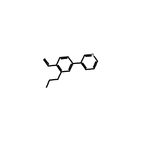 C=Cc1ccc(-c2cccnc2)cc1CCC